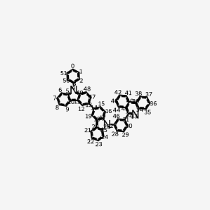 c1ccc(-n2c3ccccc3c3cc(-c4ccc5c(c4)c4ccccc4n5-c4cccc(-c5nc6ccccc6c6ccccc56)c4)ccc32)cc1